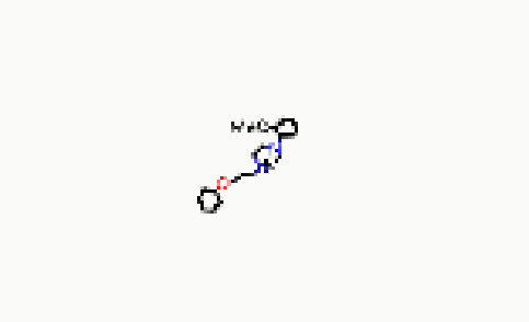 COc1ccccc1N1CCN(CCCOc2ccccc2)CC1